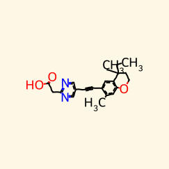 CCC1(CC)CCOc2cc(C)c(C#Cc3cnc(CC(=O)O)nc3)cc21